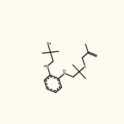 C=C(C)CSC(C)(C)CNc1ccccc1NCC(C)(C)S